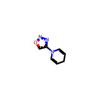 C1=CN(c2conn2)C=CC1